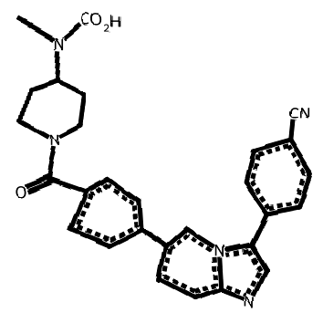 CN(C(=O)O)C1CCN(C(=O)c2ccc(-c3ccc4ncc(-c5ccc(C#N)cc5)n4c3)cc2)CC1